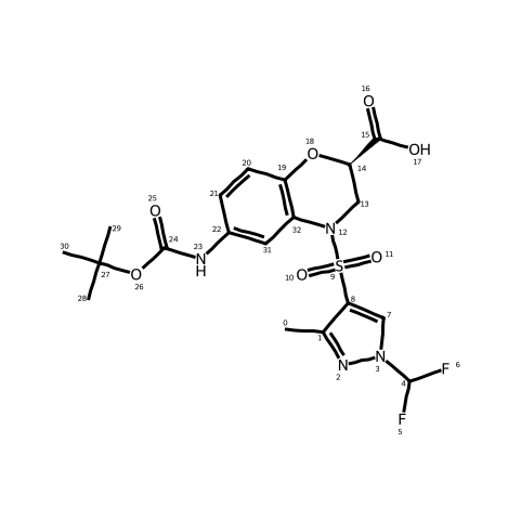 Cc1nn(C(F)F)cc1S(=O)(=O)N1C[C@H](C(=O)O)Oc2ccc(NC(=O)OC(C)(C)C)cc21